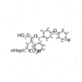 CCCCCCCC(=CC(=C(OCc1ccc(Oc2ccc(F)cc2)cc1)C(=O)O)c1ccccc1)C(=O)O